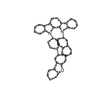 c1ccc2cc(-n3c4ccccc4c4ccc5c6ccccc6n(-c6ccc(-c7ccc8oc9ccccc9c8c7)cc6)c5c43)ccc2c1